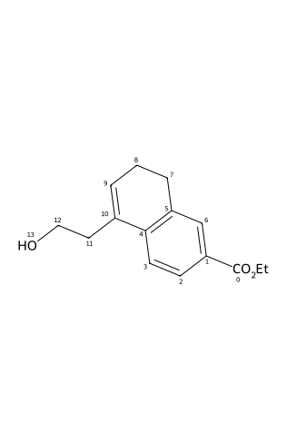 CCOC(=O)c1ccc2c(c1)CCC=C2CCO